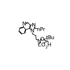 CCCc1nc2cnc3ccccc3c2n1CCCN(O[Si](C)(C)C(C)(C)C)C(=O)O